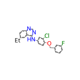 CCc1ccc2ncnc(Nc3ccc(OCc4cccc(F)c4)c(Cl)c3)c2c1